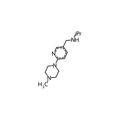 CC(C)NCc1ccc(N2CCN(C)CC2)nc1